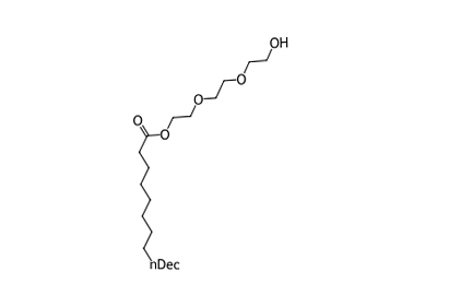 CCCCCCCCCCCCCCCCCC(=O)OCCOCCOCCO